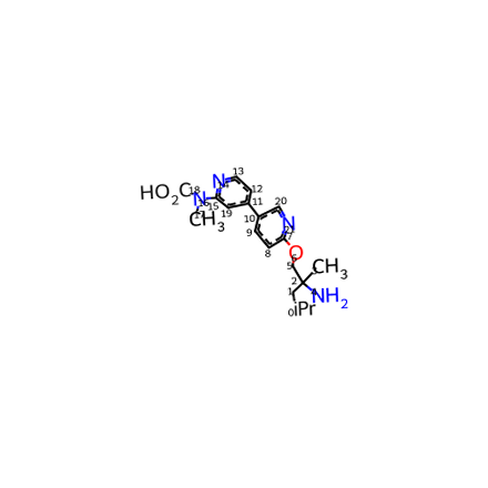 CC(C)CC(C)(N)COc1ccc(-c2ccnc(N(C)C(=O)O)c2)cn1